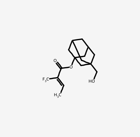 CC=C(C(=O)OC12CC3CC(CC(CO)(C3)C1)C2)C(F)(F)F